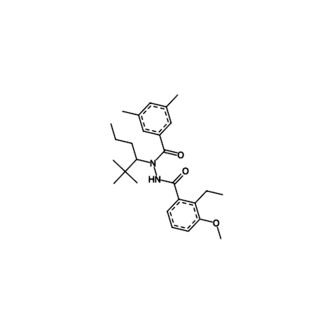 CCCC(N(NC(=O)c1cccc(OC)c1CC)C(=O)c1cc(C)cc(C)c1)C(C)(C)C